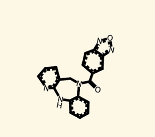 O=C(c1ccc2nonc2c1)N1Cc2cccnc2Nc2ccccc21